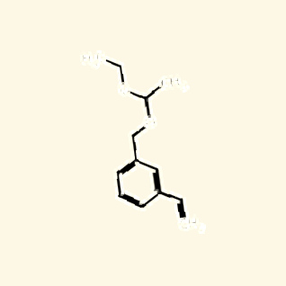 C=Cc1cccc(COC(C)OCC)c1